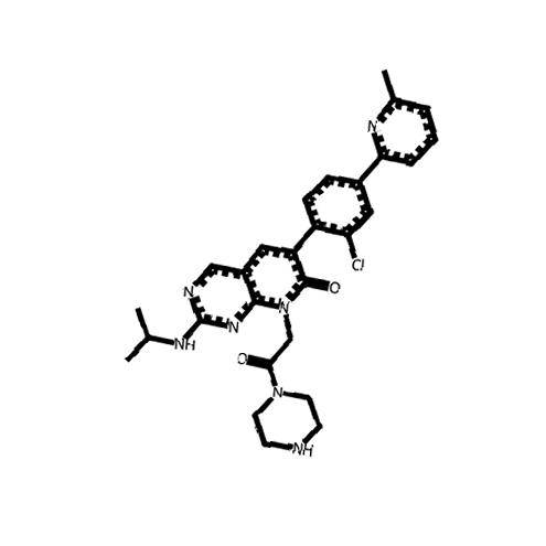 Cc1cccc(-c2ccc(-c3cc4cnc(NC(C)C)nc4n(CC(=O)N4CCNCC4)c3=O)c(Cl)c2)n1